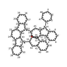 c1ccc(-n2c3ccccc3c3ccc(-n4c5ccccc5c5ccc6c7ccccc7n(-c7ccc8ccccc8c7)c6c54)cc32)cc1